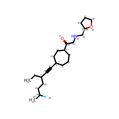 CCC(C#CC1CCCC(C(=O)CNC[C@H]2CCCO2)CC1)CCC(C)F